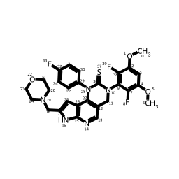 COc1cc(OC)c(F)c(N2Cc3cnc4[nH]c(CN5CCOCC5)cc4c3N(c3ccc(F)cc3)C2=S)c1F